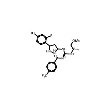 COC[C@H](C)N/C(=N/C(=O)c1ccc(C(F)(F)F)cc1)NC1CC(c2ccc(O)cc2F)NN1